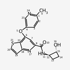 Cc1ccc(Oc2cc(C(=O)N[C@@H]3CC[C@H]3O)nc3ccsc23)cn1